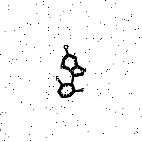 Fc1cccc(F)c1-c1cnc2cc(Cl)cnn12